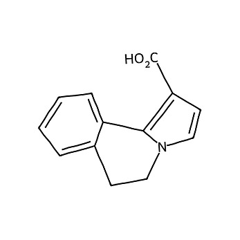 O=C(O)c1ccn2c1-c1ccccc1CC2